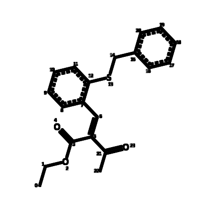 CCOC(=O)C(=Cc1ccccc1SCc1ccccc1)C(C)=O